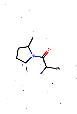 CC(C)C(I)C(=O)N1C(C)CC[C@H]1C